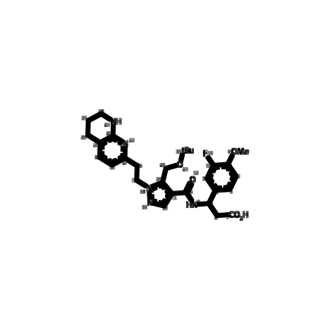 COc1ccc(C(CC(=O)O)NC(=O)c2cnn(CCc3ccc4c(n3)NCCC4)c2COC(C)(C)C)cc1F